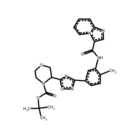 Cc1ccc(-c2noc(C3COCCN3C(=O)OC(C)(C)C)n2)cc1NC(=O)c1cnc2ccccn12